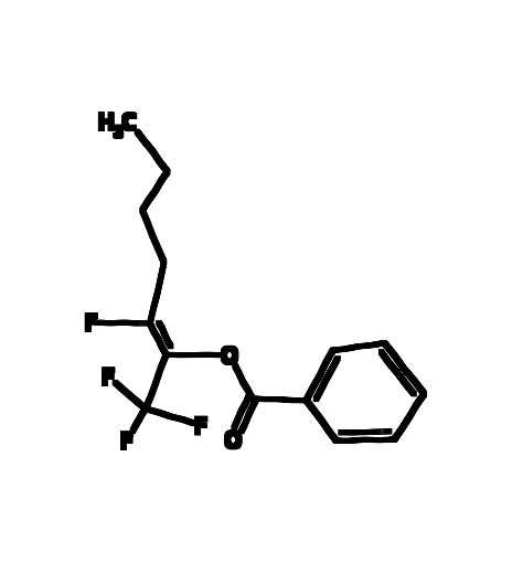 CCCC/C(F)=C(\OC(=O)c1ccccc1)C(F)(F)F